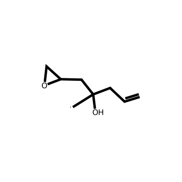 [CH2]C(O)(CC=C)CC1CO1